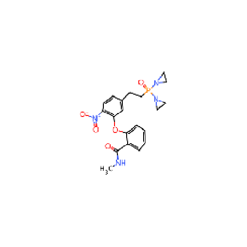 CNC(=O)c1ccccc1Oc1cc(CCP(=O)(N2CC2)N2CC2)ccc1[N+](=O)[O-]